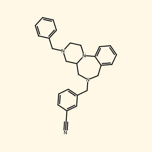 N#Cc1cccc(CN2Cc3ccccc3N3CCN(Cc4ccccc4)CC3C2)c1